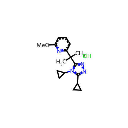 COc1cccc(C(C)(C)c2nnc(C3CC3)n2C2CC2)n1.Cl